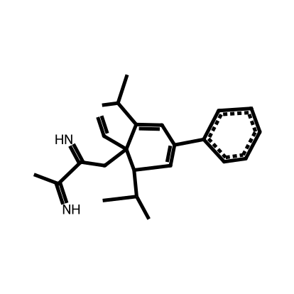 C=CC1(CC(=N)C(C)=N)C(C(C)C)=CC(c2ccccc2)=CC1C(C)C